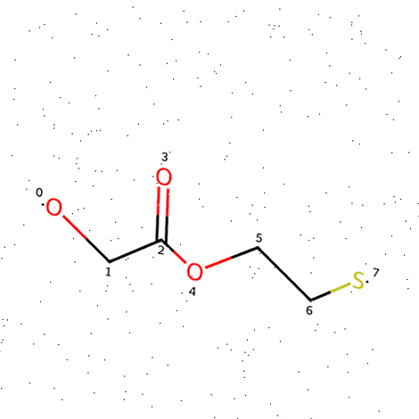 [O]CC(=O)OCC[S]